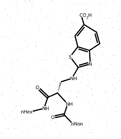 CCCCCCCCCC(=O)N[C@@H](CNc1nc2ccc(C(=O)O)cc2s1)C(=O)NCCCCCC